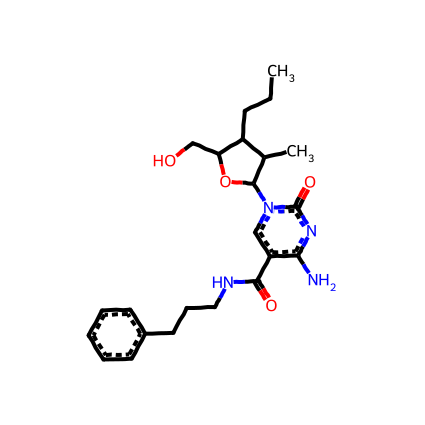 CCCC1C(CO)OC(n2cc(C(=O)NCCCc3ccccc3)c(N)nc2=O)C1C